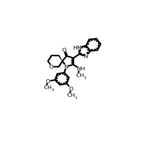 CNC1=C(c2nc3ccccc3[nH]2)C(=O)[C@]2(CCCOC2)N1c1cc(OC)cc(OC)c1